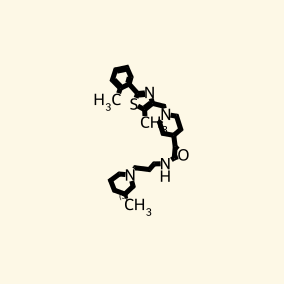 Cc1ccccc1-c1nc(CN2CCC(C3OC3NCCCN3CCC[C@H](C)C3)CC2)c(C)s1